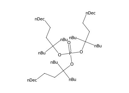 CCCCCCCCCCCCC(CCCC)(CCCC)OP(=O)(OC(CCCC)(CCCC)CCCCCCCCCCCC)OC(CCCC)(CCCC)CCCCCCCCCCCC